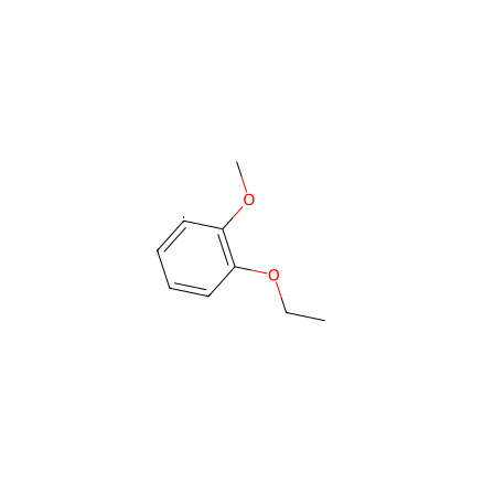 CCOc1ccc[c]c1OC